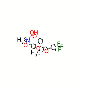 CCc1oc(-c2ccc(C(F)(F)F)cc2)cc1C(Oc1ccc(C(=O)N(C)CCC(=O)O)cc1)c1ccccc1